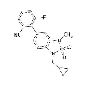 CN1c2cc(-c3c(F)cccc3C#N)ccc2N(CC2CC2)S1(=O)=O